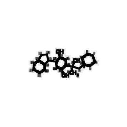 CC(C)(Cc1ccccc1)c1cc(O)c(C2CCc3ccccc32)cc1O